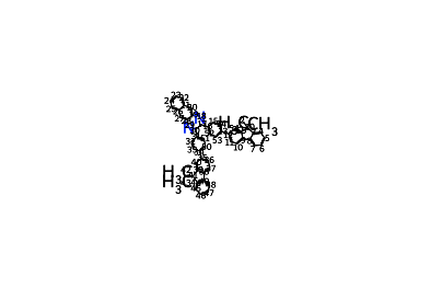 CC1(C)c2ccccc2-c2ccc(-c3ccc(-c4nc5cc6ccccc6cc5nc4-c4ccc(-c5ccc6c(c5)C(C)(C)c5ccccc5-6)cc4)cc3)cc21